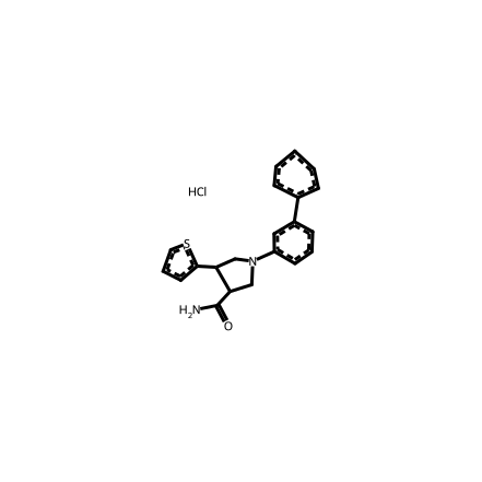 Cl.NC(=O)C1CN(c2cccc(-c3ccccc3)c2)CC1c1cccs1